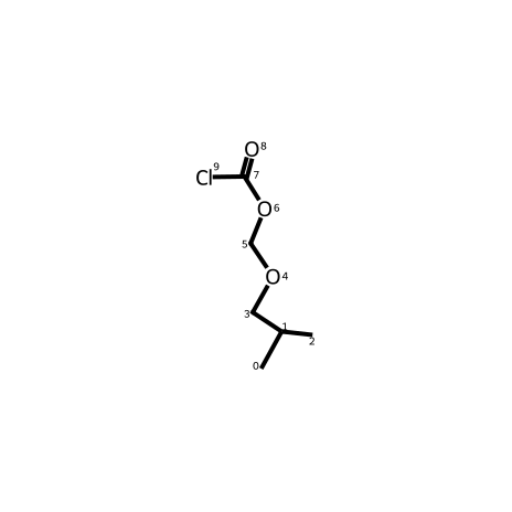 CC(C)COCOC(=O)Cl